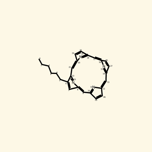 CCCCCCC1=CC2=CC3=NC(=CC4=NC(=CC5=NC(=CC1=N2)C=C5)C=C4)C=C3